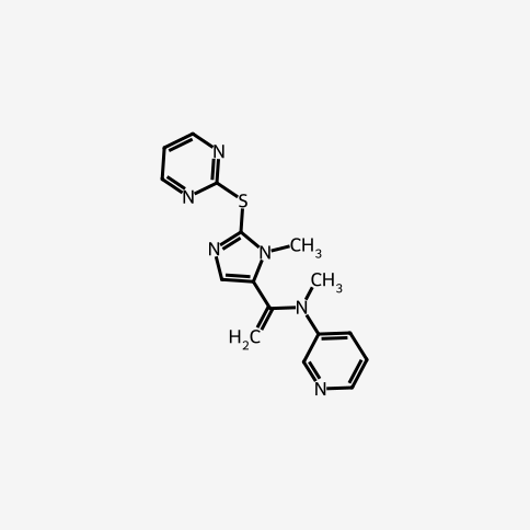 C=C(c1cnc(Sc2ncccn2)n1C)N(C)c1cccnc1